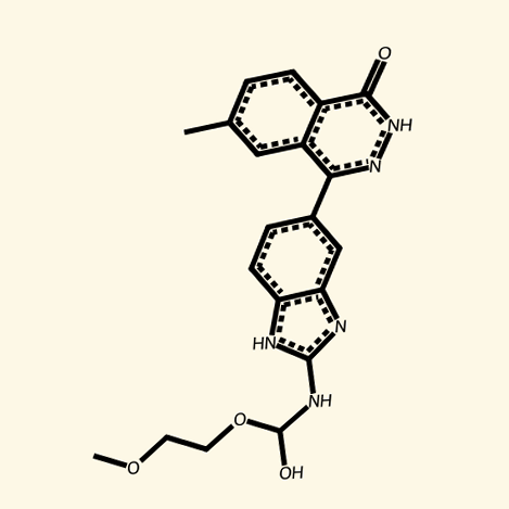 COCCOC(O)Nc1nc2cc(-c3n[nH]c(=O)c4ccc(C)cc34)ccc2[nH]1